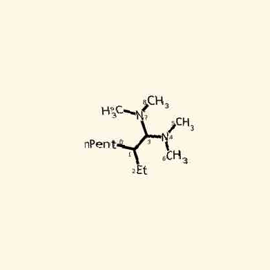 CCCCCC(CC)C(N(C)C)N(C)C